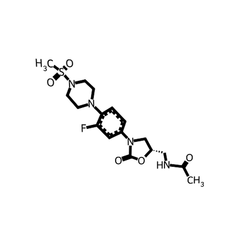 CC(=O)NC[C@H]1CN(c2ccc(N3CCN(S(C)(=O)=O)CC3)c(F)c2)C(=O)O1